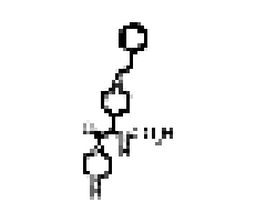 O=C(O)NC(C(=O)N1CCNCC1)C1CCN(CCc2ccccc2)CC1